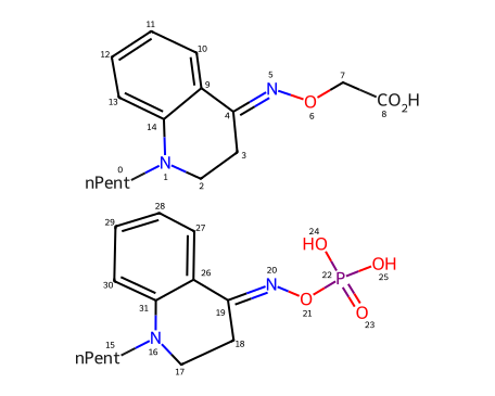 CCCCCN1CCC(=NOCC(=O)O)c2ccccc21.CCCCCN1CCC(=NOP(=O)(O)O)c2ccccc21